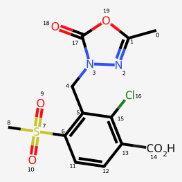 Cc1nn(Cc2c(S(C)(=O)=O)ccc(C(=O)O)c2Cl)c(=O)o1